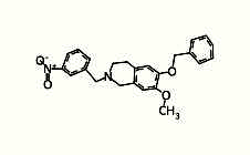 COc1cc2c(cc1OCc1ccccc1)CCN(Cc1cccc([N+](=O)[O-])c1)C2